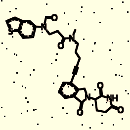 CN(CCCC#Cc1cccc2c1CN(C1CCC(=O)NC1=O)C2=O)C(=O)CCN(C=O)c1ccc2sccc2c1